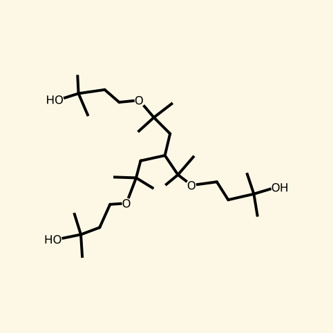 CC(C)(O)CCOC(C)(C)CC(CC(C)(C)OCCC(C)(C)O)C(C)(C)OCCC(C)(C)O